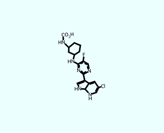 O=C(O)NC1CCCC(Nc2nc(C3=CNC4NC=C(Cl)C=C34)ncc2F)C1